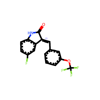 O=C1Nc2ccc(F)cc2/C1=C\c1cccc(OC(F)(F)F)c1